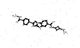 CNC(=O)c1ccc(-c2cn3c(n2)sc2cc(C(=O)NC4CC(NC)C4)ccc23)cc1